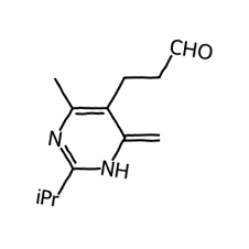 C=C1NC(C(C)C)=NC(C)=C1CCC=O